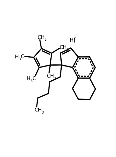 CCCCCC1(C2(C)C(C)=C(C)C(C)=C2C)C=Cc2ccc3c(c21)CCCC3.[Hf]